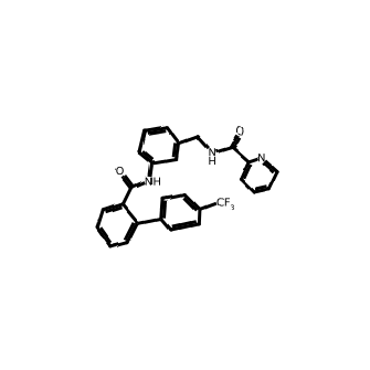 O=C(NCc1cccc(NC(=O)c2ccccc2-c2ccc(C(F)(F)F)cc2)c1)c1ccccn1